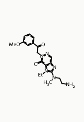 CCn1c(N(C)CCN)nc2cnn(CC(=O)c3cccc(OC)c3)c(=O)c21